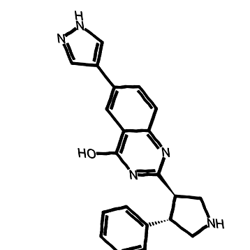 Oc1nc([C@H]2CNC[C@@H]2c2ccccc2)nc2ccc(-c3cn[nH]c3)cc12